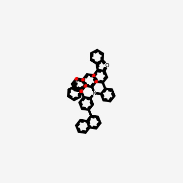 c1ccc(-c2ccc(-c3cccc4ccccc34)cc2N(c2ccccc2-c2ccc3c(c2)oc2ccccc23)c2cccc3oc4ccccc4c23)cc1